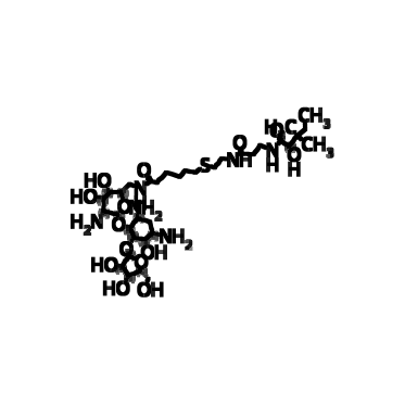 CCC(C)(C)[C@@H](O)C(=O)NCCC(=O)NCCSCCCCCC(=O)NC[C@H]1O[C@H](O[C@H]2[C@H](O[C@@H]3O[C@H](CO)[C@@H](O)[C@H]3O)[C@@H](O)[C@H](N)C[C@@H]2N)[C@H](N)[C@@H](O)[C@@H]1O